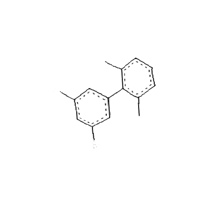 Cc1cccc(C)c1-c1cc(Cl)cc(Br)c1